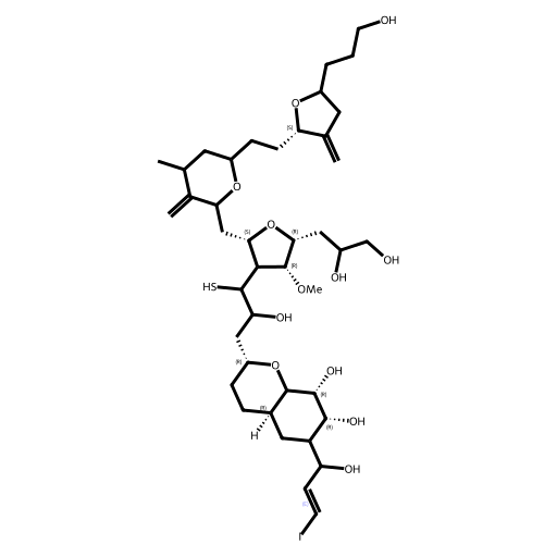 C=C1C(C)CC(CC[C@@H]2OC(CCCO)CC2=C)OC1C[C@@H]1O[C@H](CC(O)CO)[C@H](OC)C1C(S)C(O)C[C@H]1CC[C@@H]2CC(C(O)/C=C/I)[C@@H](O)[C@@H](O)C2O1